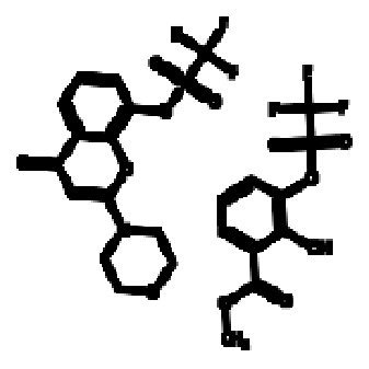 COC(=O)c1cccc(OS(=O)(=O)C(F)(F)F)c1O.O=c1cc(N2CCOCC2)oc2c(OS(=O)(=O)C(F)(F)F)cccc12